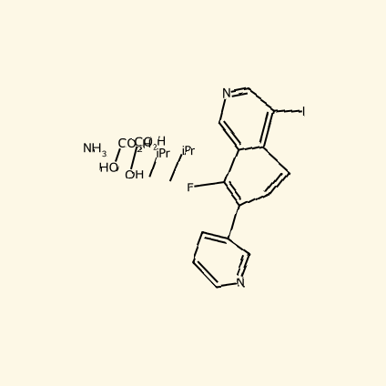 CC(C)C.CC(C)C.Fc1c(-c2cccnc2)ccc2c(I)cncc12.N.O=C(O)O.O=C(O)O